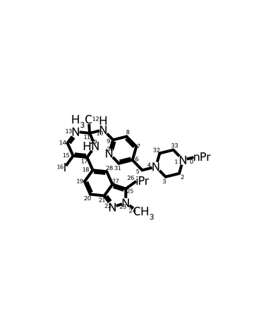 CCCN1CCN(Cc2ccc(NC3(C)N=CC(I)=C(c4ccc5nn(C)c(C(C)C)c5c4)N3)nc2)CC1